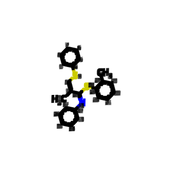 CC(=CSc1ccccc1)C(=Nc1ccccc1)Sc1ccccc1C